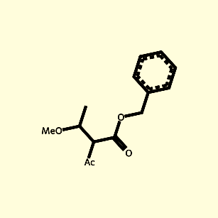 COC(C)C(C(C)=O)C(=O)OCc1ccccc1